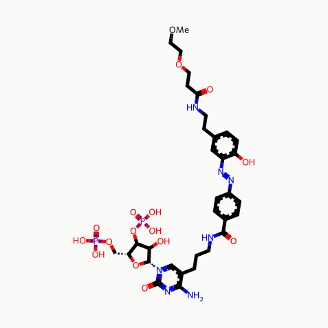 COCCOCCC(=O)NCCc1ccc(O)c(/N=N/c2ccc(C(=O)NCCCc3cn([C@@H]4O[C@H](COP(=O)(O)O)C(OP(=O)(O)O)C4O)c(=O)nc3N)cc2)c1